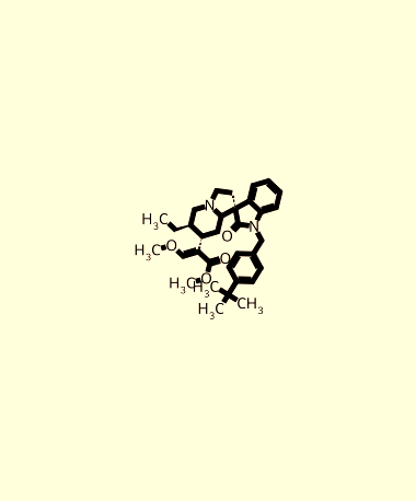 CC[C@H]1CN2CC[C@]3(C(=O)N(Cc4ccc(C(C)(C)C)cc4)c4ccccc43)C2C[C@@H]1/C(=C\OC)C(=O)OC